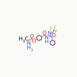 CC(N)C(=O)Oc1ccc(C(=O)Nc2nc(C(F)(F)F)oc2-c2ccccc2)cc1